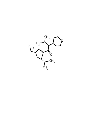 CCC1C[C@@H](C(C)C)N(C(=O)C(C(C)C)C2CCOCC2)C1